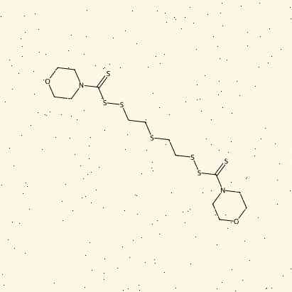 S=C(SSCCSCCSSC(=S)N1CCOCC1)N1CCOCC1